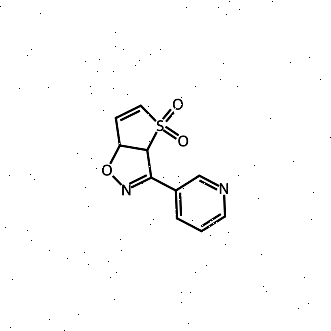 O=S1(=O)C=CC2ON=C(c3cccnc3)C21